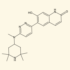 CN(c1ccc(-c2cc3ccc(=O)[nH]c3cc2O)nn1)C1CC(C)(C)NC(C)(C)C1